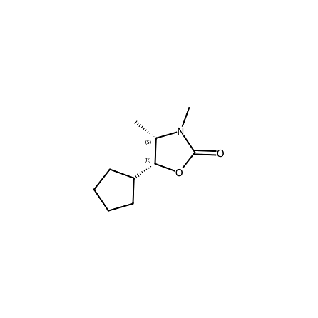 C[C@H]1[C@@H](C2CCCC2)OC(=O)N1C